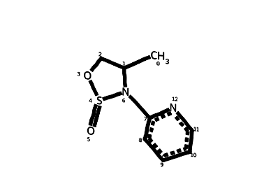 CC1COS(=O)N1c1ccccn1